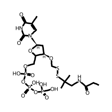 CCC(=O)NCC(C)(C)SSCO[C@@H]1C[C@H](n2cc(C)c(=O)[nH]c2=O)OC1COP(=O)(O)OP(=O)(O)OP(=O)(O)O